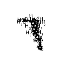 C=C(C)C1CC[C@]2(NCCCC(C)(C)O)CC[C@]3(C)[C@H](CC[C@@H]4[C@@]5(C)CC=C(C6=CC[C@](CF)(C(=O)OCc7ccccc7)CC6)C(C)(C)[C@@H]5CC[C@]43C)[C@@H]12